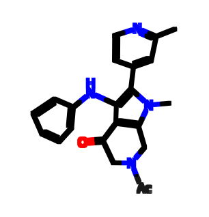 CC(=O)N1CC(=O)c2c(Nc3ccccc3)c(-c3ccnc(C)c3)n(C)c2C1